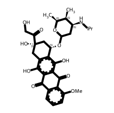 COc1cccc2c1C(=O)c1c(O)c3c(c(O)c1C2=O)C[C@@](O)(C(=O)CO)C[C@@H]3OC1C[C@H](NC(C)C)[C@H](C)[C@H](C)O1